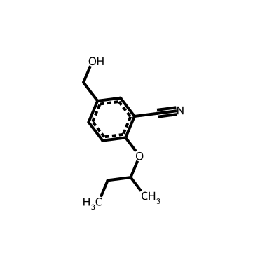 CCC(C)Oc1ccc(CO)cc1C#N